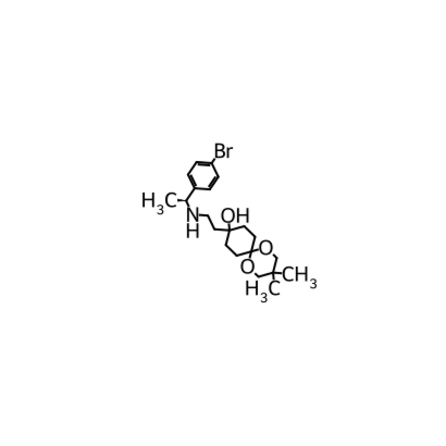 C[C@H](NCCC1(O)CCC2(CC1)OCC(C)(C)CO2)c1ccc(Br)cc1